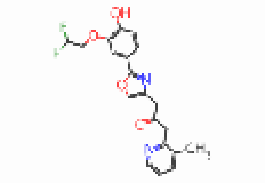 Cc1cccnc1CC(=O)Cc1coc(-c2ccc(O)c(OCC(F)F)c2)n1